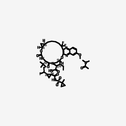 CC(=O)N(C)C.CC[C@@H]1[C@@H]2CN(C(=O)[C@H](C(C)(C)C)NC(=O)O[C@@H]3C[C@H]3CCCCC(F)(F)c3nc4ccc(OC)cc4nc3O2)[C@@H]1C(=O)N[C@]1(C(=O)NS(=O)(=O)C2(C)CC2)C[C@H]1C(F)F